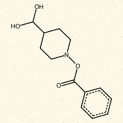 O=C(ON1CCC(C(O)O)CC1)c1ccccc1